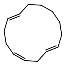 C1=C\CC/C=C/CCCCC/C=C/C/1